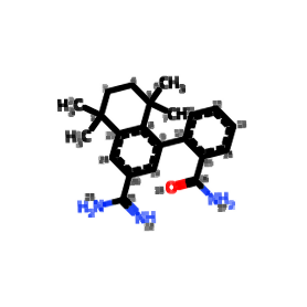 CC1(C)CCC(C)(C)c2c(-c3ccccc3C(N)=O)cc(C(=N)N)cc21